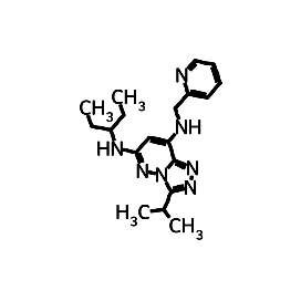 CCC(CC)Nc1cc(NCc2ccccn2)c2nnc(C(C)C)n2n1